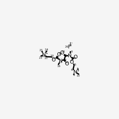 CN(C(=O)OCC[N+](C)(C)C)C(=O)C(=O)N(C)C(=O)OCC[N+](C)(C)C.[I-].[I-]